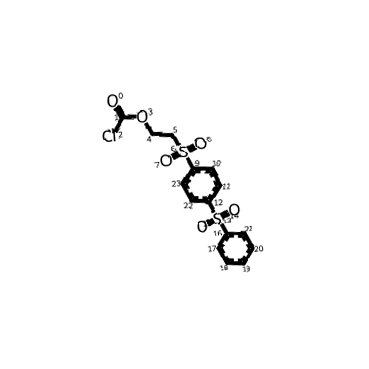 O=C(Cl)OCCS(=O)(=O)c1ccc(S(=O)(=O)c2ccccc2)cc1